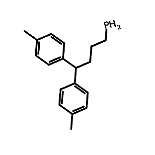 Cc1ccc(C(CCCP)c2ccc(C)cc2)cc1